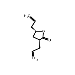 C=CC[C@@H]1C[C@H](CC=C)C(=O)O1